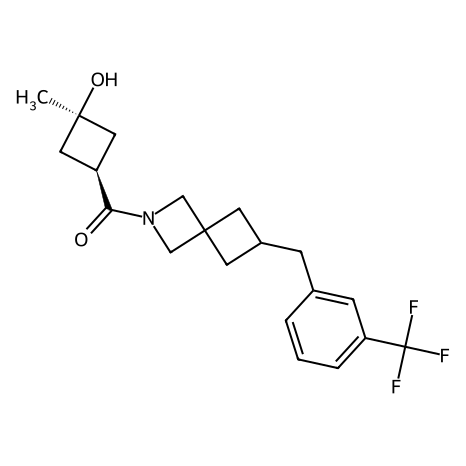 C[C@]1(O)C[C@@H](C(=O)N2CC3(CC(Cc4cccc(C(F)(F)F)c4)C3)C2)C1